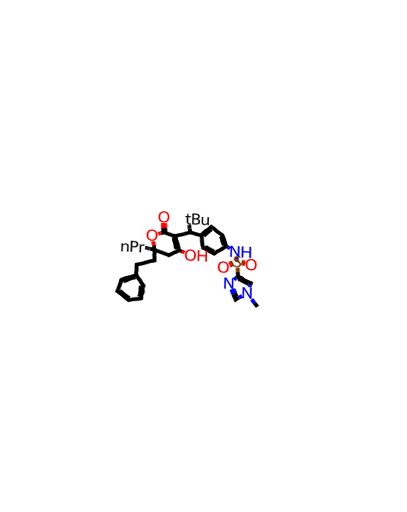 CCCC1(CCc2ccccc2)CC(O)=C(C(c2ccc(NS(=O)(=O)c3cn(C)cn3)cc2)C(C)(C)C)C(=O)O1